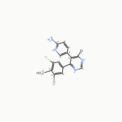 CCc1ncnc(-c2cc(F)c(C(=O)O)c(Cl)c2)c1-c1ccc(N)nc1